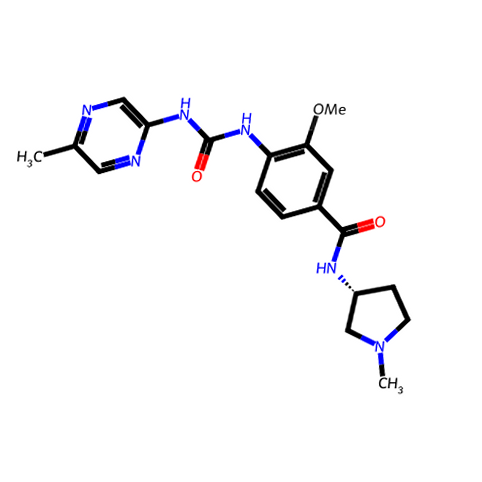 COc1cc(C(=O)N[C@@H]2CCN(C)C2)ccc1NC(=O)Nc1cnc(C)cn1